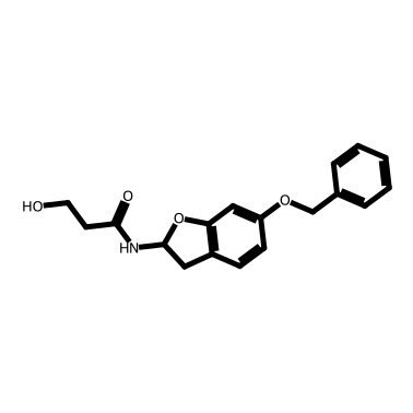 O=C(CCO)NC1Cc2ccc(OCc3ccccc3)cc2O1